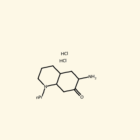 CCCN1CCCC2CC(N)C(=O)CC21.Cl.Cl